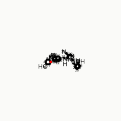 CN([C@H]1CC[C@@H](O)CC1)[C@@H]1[C@@H]2CC3C[C@H]1C[C@](CNc1nc(NCc4ccccc4O)ncc1C#N)(C3)C2